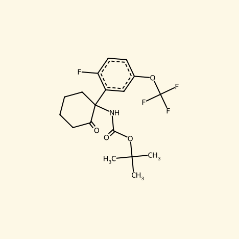 CC(C)(C)OC(=O)NC1(c2cc(OC(F)(F)F)ccc2F)CCCCC1=O